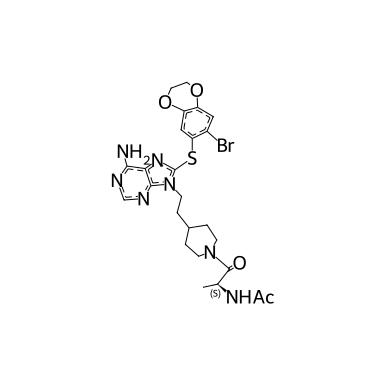 CC(=O)N[C@@H](C)C(=O)N1CCC(CCn2c(Sc3cc4c(cc3Br)OCCO4)nc3c(N)ncnc32)CC1